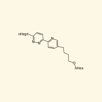 CCCCCCCc1ccc(-c2ccc(CCCCOCCCCCC)cn2)nn1